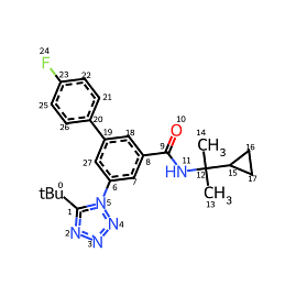 CC(C)(C)c1nnnn1-c1cc(C(=O)NC(C)(C)C2CC2)cc(-c2ccc(F)cc2)c1